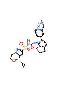 O=C(Nc1c(-c2ccn3nncc3c2)ccc2c1CCC2)NS(=O)(=O)c1cc2n(n1)CCO[C@H]2C1CC1